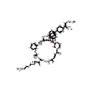 NCCOCCNC(=O)[C@@H]1CCNC(=O)/C=C/C(=O)N2CCC[C@](Cc3ccccc3)(C2)C(=O)N[C@@H](Cc2ccc(-c3ccc(/C(=C/C(=O)O)C(F)(F)F)cc3)cc2)C(=O)NCc2ccccc2CC(=O)N1